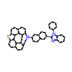 c1ccc(-n2c(-c3ccc4cc(-n5c6ccc7ccc8sc9ccc%10ccc5c5c%10c9c8c7c56)ccc4c3)nc3ccccc32)cc1